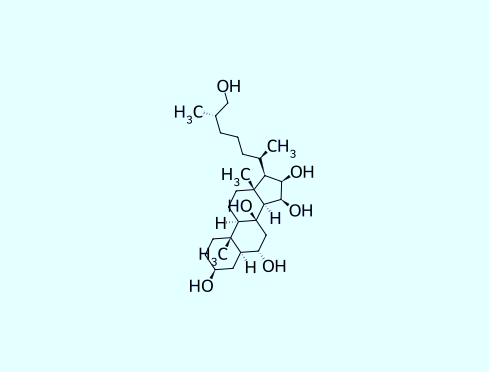 C[C@H](CO)CCC[C@@H](C)[C@H]1[C@@H](O)[C@@H](O)[C@@H]2[C@]1(C)CC[C@@H]1[C@@]3(C)CC[C@H](O)C[C@@H]3[C@@H](O)C[C@]12O